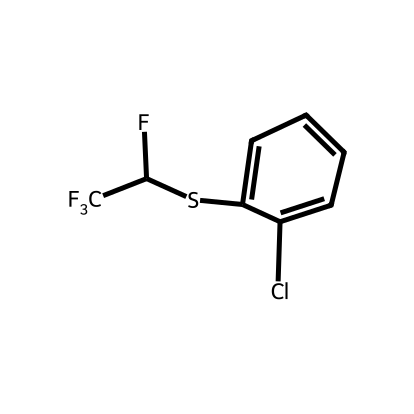 FC(Sc1ccccc1Cl)C(F)(F)F